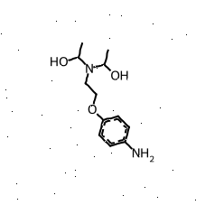 CC(O)N(CCOc1ccc(N)cc1)C(C)O